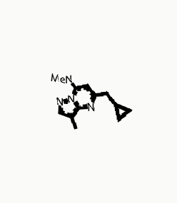 CNc1cc(CC2CC2)nc2c(C)cnn12